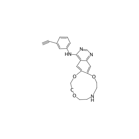 C#Cc1cccc(Nc2ncnc3cc4c(cc23)OCCOCCNCCO4)c1